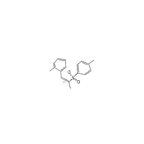 C/C(=C/c1ccccc1C)S(=O)(=O)c1ccc(C)cc1